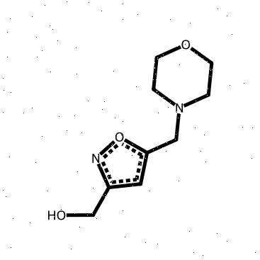 OCc1cc(CN2CCOCC2)on1